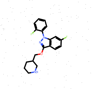 Fc1ccc2c(OCC3CCCNC3)nn(-c3ccccc3F)c2c1